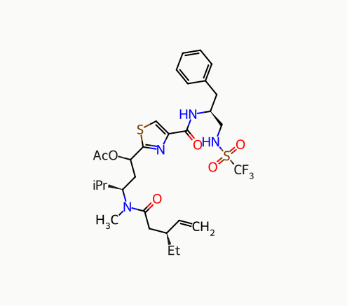 C=C[C@@H](CC)CC(=O)N(C)[C@H](CC(OC(C)=O)c1nc(C(=O)N[C@H](CNS(=O)(=O)C(F)(F)F)Cc2ccccc2)cs1)C(C)C